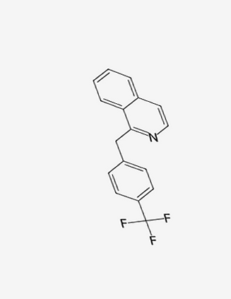 FC(F)(F)c1ccc(Cc2nccc3ccccc23)cc1